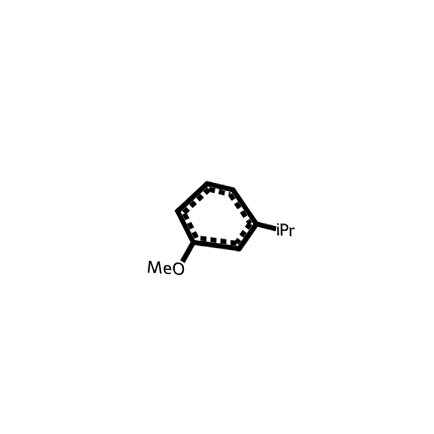 [CH2-][OH+]c1cccc(C(C)C)c1